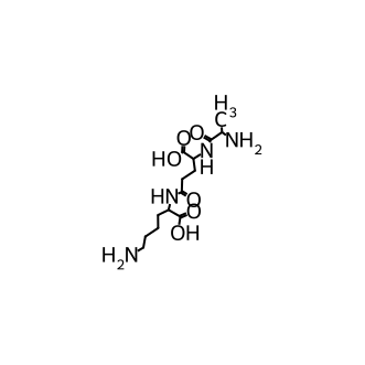 CC(N)C(=O)NC(CCC(=O)NC(CCCCN)C(=O)O)C(=O)O